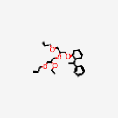 C=CCOCC(COc1ccccc1C(C)c1ccccc1)OCC(COCC=C)OCC